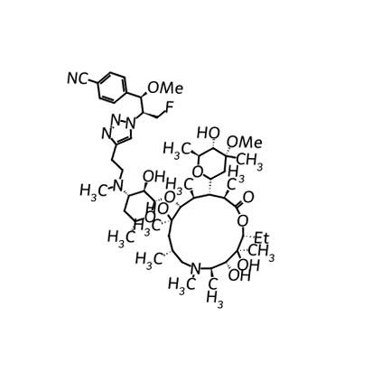 CC[C@H]1OC(=O)[C@H](C)[C@@H](C2C[C@@](C)(OC)[C@@H](O)[C@H](C)O2)[C@H](C)[C@@H](O[C@@H]2O[C@H](C)C[C@H](N(C)CCc3cn([C@H](CF)[C@H](OC)c4ccc(C#N)cc4)nn3)[C@H]2O)[C@](C)(O)C[C@@H](C)CN(C)[C@H](C)[C@@H](O)[C@]1(C)O